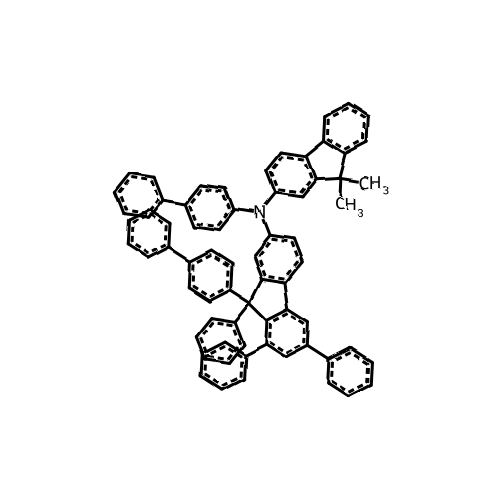 CC1(C)c2ccccc2-c2ccc(N(c3ccc(-c4ccccc4)cc3)c3ccc4c(c3)C(c3ccccc3)(c3ccc(-c5ccccc5)cc3)c3c(-c5ccccc5)cc(-c5ccccc5)cc3-4)cc21